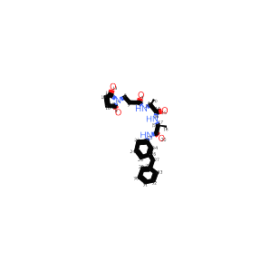 C[C@H](NC(=O)CCN1C(=O)C=CC1=O)C(=O)N[C@@H](C)C(=O)Nc1cccc(Cc2ccccc2)c1